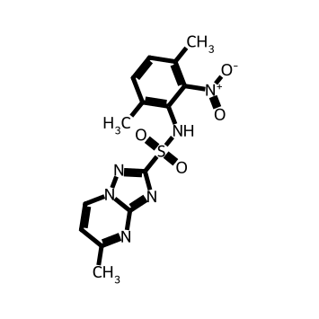 Cc1ccn2nc(S(=O)(=O)Nc3c(C)ccc(C)c3[N+](=O)[O-])nc2n1